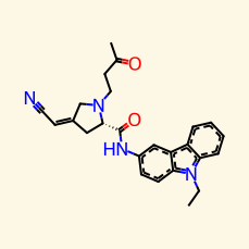 CCn1c2ccccc2c2cc(NC(=O)[C@@H]3CC(=CC#N)CN3CCC(C)=O)ccc21